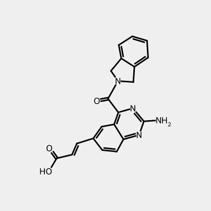 Nc1nc(C(=O)N2Cc3ccccc3C2)c2cc(/C=C/C(=O)O)ccc2n1